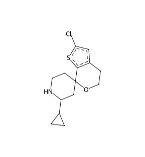 Clc1cc2c(s1)C1(CCNC(C3CC3)C1)OCC2